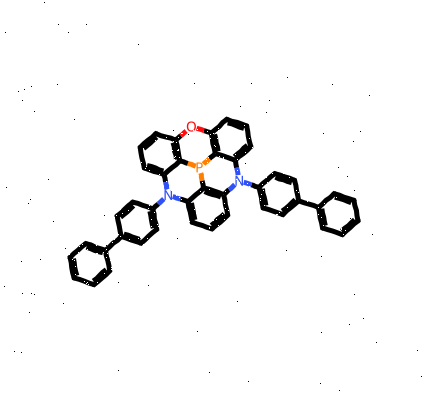 c1ccc(-c2ccc(N3c4cccc5c4P4c6c(cccc6N(c6ccc(-c7ccccc7)cc6)c6cccc3c64)O5)cc2)cc1